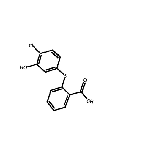 O=C(O)c1ccccc1Sc1ccc(Cl)c(O)c1